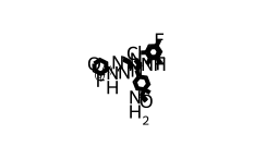 CC1(C(N)=O)CCC(n2c(Nc3c(F)cc(F)cc3Cl)nc3cnc(N[C@@H]4CCOC[C@H]4F)nc32)CC1